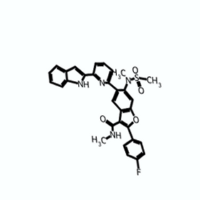 CNC(=O)c1c(-c2ccc(F)cc2)oc2cc(N(C)S(C)(=O)=O)c(-c3cccc(-c4cc5ccccc5[nH]4)n3)cc12